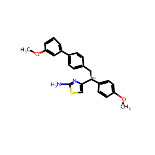 COc1ccc([C@H](Cc2ccc(-c3cccc(OC)c3)cc2)c2csc(N)n2)cc1